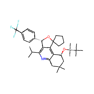 CC(C)c1nc2c(c3c1[C@H](c1ccc(C(F)(F)F)cc1)OC31CCCC1)[C@@H](O[Si](C)(C)C(C)(C)C)CC(C)(C)C2